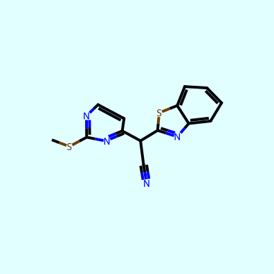 CSc1nccc(C(C#N)c2nc3ccccc3s2)n1